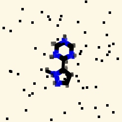 Cn1nccc1-c1ncncn1